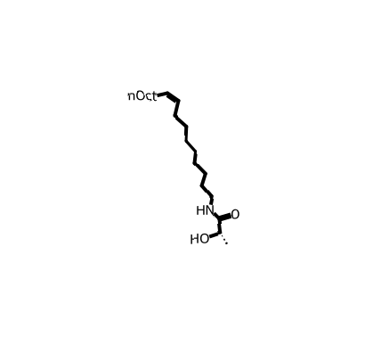 CCCCCCCC/C=C\CCCCCCCCNC(=O)[C@H](C)O